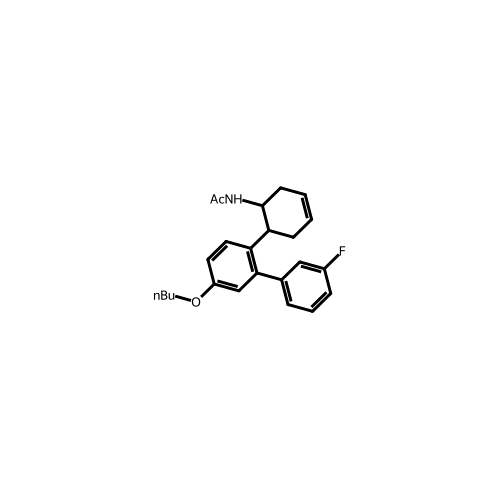 CCCCOc1ccc(C2CC=CCC2NC(C)=O)c(-c2cccc(F)c2)c1